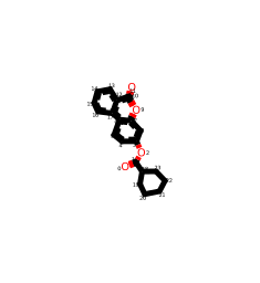 O=C(Oc1ccc2c(c1)oc(=O)c1ccccc12)C1CCCCC1